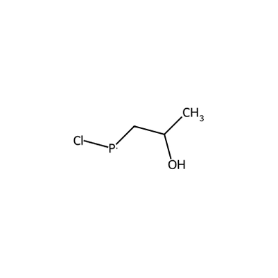 CC(O)C[P]Cl